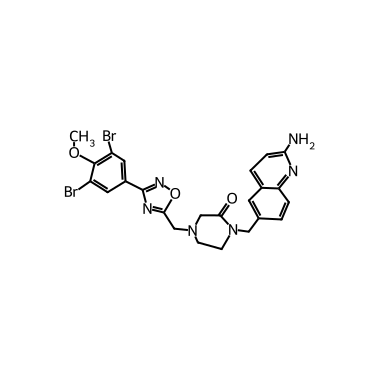 COc1c(Br)cc(-c2noc(CN3CCN(Cc4ccc5nc(N)ccc5c4)C(=O)C3)n2)cc1Br